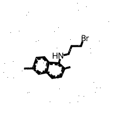 Cc1ccc2c(NCCCBr)c(C)ccc2c1